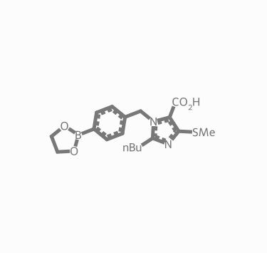 CCCCc1nc(SC)c(C(=O)O)n1Cc1ccc(B2OCCO2)cc1